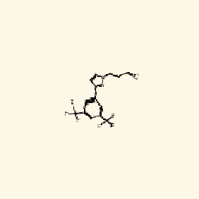 O=CCCn1ccc(-c2cc(C(F)(F)F)cc(C(F)(F)F)c2)n1